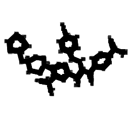 O=C(O)c1ccc(C(=O)C(SCc2ccc(F)cc2)=C(I)c2ccc(N3CCN(Cc4ccccc4)CC3)c([N+](=O)[O-])c2)cc1